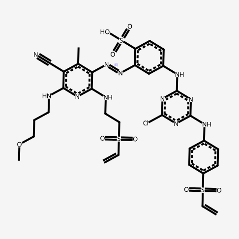 C=CS(=O)(=O)CCNc1nc(NCCCOC)c(C#N)c(C)c1/N=N/c1cc(Nc2nc(Cl)nc(Nc3ccc(S(=O)(=O)C=C)cc3)n2)ccc1S(=O)(=O)O